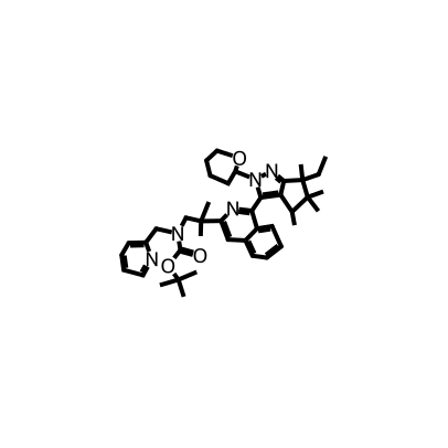 CCC1(C)c2nn(C3CCCCO3)c(-c3nc(C(C)(C)CN(Cc4ccccn4)C(=O)OC(C)(C)C)cc4ccccc34)c2C(C)C1(C)C